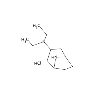 CCN(CC)C1CC2CCC(C1)N2.Cl